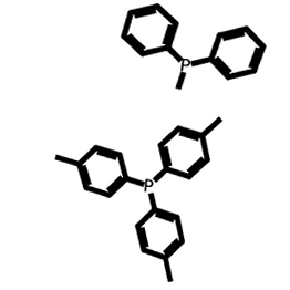 CP(c1ccccc1)c1ccccc1.Cc1ccc(P(c2ccc(C)cc2)c2ccc(C)cc2)cc1